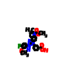 COC(=O)N1c2ccc3c(nc(Nc4ccc(F)c(OC)c4)n3[C@@H]3CCC[C@@H](C(=O)O)C3)c2CC[C@@H]1C